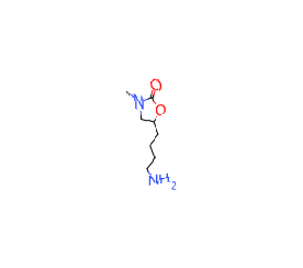 CN1CC(CCCCN)OC1=O